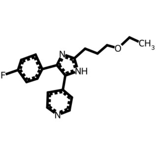 CCOCCCc1nc(-c2ccc(F)cc2)c(-c2ccncc2)[nH]1